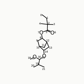 CCC(C)(C)C(=O)OC1CC2CC1CC2OC(OC)C(C)C